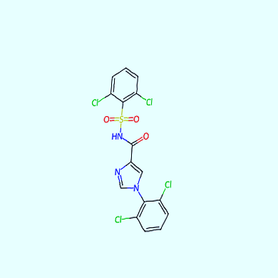 O=C(NS(=O)(=O)c1c(Cl)cccc1Cl)c1cn(-c2c(Cl)cccc2Cl)cn1